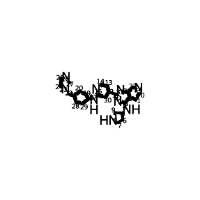 c1cc2c(NC3CCNC3)nc(-c3ccnc(Nc4ccc(Cn5ccnc5)cc4)c3)nc2cn1